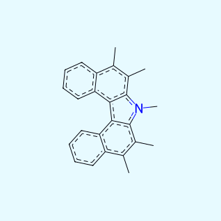 Cc1c(C)c2c(c3ccccc13)c1c3ccccc3c(C)c(C)c1n2C